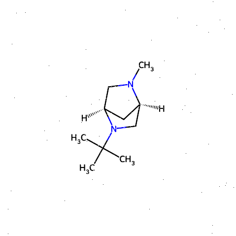 CN1C[C@H]2C[C@@H]1CN2C(C)(C)C